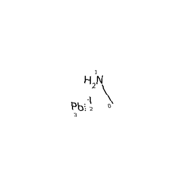 CN.[I].[Pb]